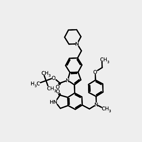 CCOc1ccc(N(C)Cc2cc3c(c(-c4cc5cc(CN6CCCCC6)ccc5n4C(=O)OC(C)(C)C)c2)C(=O)NC3)cc1